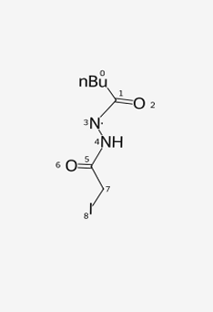 CCCCC(=O)[N]NC(=O)CI